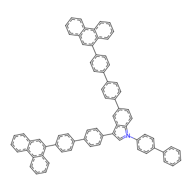 c1ccc(-c2ccc(-n3cc(-c4ccc(-c5ccc(-c6cc7ccccc7c7ccccc67)cc5)cc4)c4cc(-c5ccc(-c6ccc(-c7cc8ccccc8c8ccccc78)cc6)cc5)ccc43)cc2)cc1